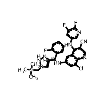 C[Si](C)(C)CN1C=C([C@@H](Nc2cc(Cl)c3ncc(C#N)c(Nc4cnc(F)c(F)c4)c3c2)c2ccccc2F)NN1